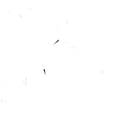 COC(=O)[C@@H]1c2cc([N+](=O)[O-])ccc2C(=O)N([C@H]2CCCC[C@@H]2NS(C)(=O)=O)[C@H]1c1ccc(Cl)cc1Cl